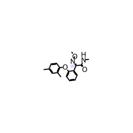 CNC(=O)/C(=N\OC)c1ccccc1Oc1ccc(C)cc1C